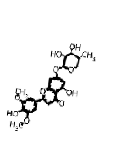 COc1cc(-c2cc(=O)c3c(O)cc(O[C@@H]4OC[C@@H](C)[C@H](O)[C@H]4O)cc3o2)cc(OC)c1O